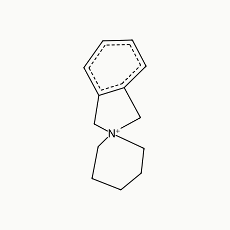 c1ccc2c(c1)C[N+]1(CCCCC1)C2